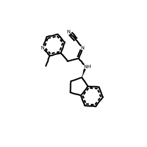 Cc1ncccc1C/C(=N\C#N)N[C@@H]1CCc2ccccc21